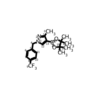 Cc1nn(Cc2ccc(C(F)(F)F)cc2)cc1B1OC(C)(C)C(C)(C)O1